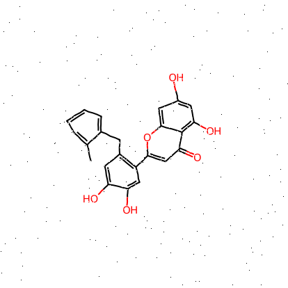 Cc1ccccc1Cc1cc(O)c(O)cc1-c1cc(=O)c2c(O)cc(O)cc2o1